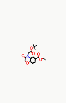 CCOC(=O)c1ccc2c(c1)N(CC(=O)OC(C)(C)C)C(=O)CO2